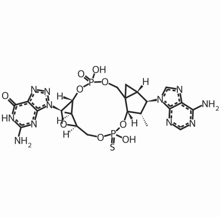 C[C@H]1[C@H]2OP(=O)(O)OCC34C[C@@H]3[C@@H](n3cnc5c(N)ncnc53)[C@H](C)[C@@H]4OP(O)(=S)OC[C@H]1O[C@H]2n1nnc2c(=O)[nH]c(N)nc21